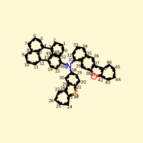 c1ccc(-c2cccc3cccc(-c4ccc(N(c5ccc6sc7ccccc7c6c5)c5cccc6cc7c(cc56)oc5ccccc57)cc4)c23)cc1